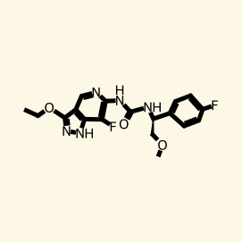 CCOc1n[nH]c2c(F)c(NC(=O)N[C@H](COC)c3ccc(F)cc3)ncc12